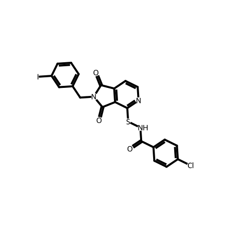 O=C(NSc1nccc2c1C(=O)N(Cc1cccc(I)c1)C2=O)c1ccc(Cl)cc1